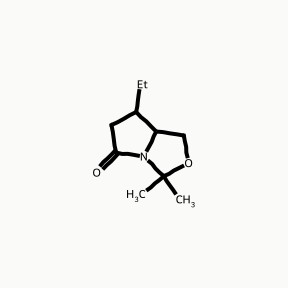 CCC1CC(=O)N2C1COC2(C)C